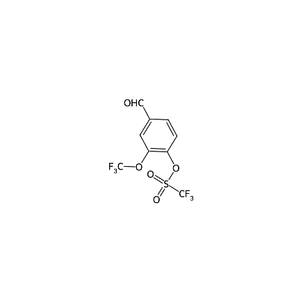 O=Cc1ccc(OS(=O)(=O)C(F)(F)F)c(OC(F)(F)F)c1